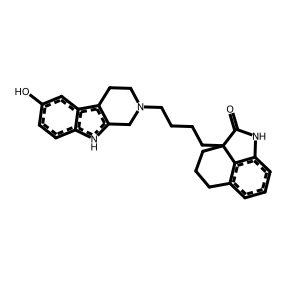 O=C1Nc2cccc3c2C1(CCCCN1CCc2c([nH]c4ccc(O)cc24)C1)CCC3